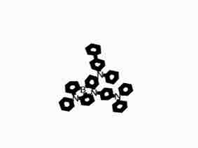 c1ccc(-c2ccc(N(c3ccccc3)c3ccc4c(c3)N(c3ccc(N(c5ccccc5)c5ccccc5)cc3)c3cccc5c3B4c3ccccc3N5c3ccccc3)cc2)cc1